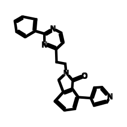 O=C1c2c(cccc2-c2ccncc2)CN1CCc1ccnc(-c2ccccc2)n1